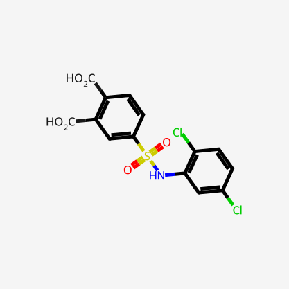 O=C(O)c1ccc(S(=O)(=O)Nc2cc(Cl)ccc2Cl)cc1C(=O)O